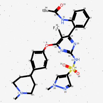 CN1CCC(c2ccc(Oc3nc(NS(=O)(=O)c4cnn(C)c4)nc(-c4ccccc4NC(=O)C(C)(C)C)c3C(F)(F)F)cc2)CC1